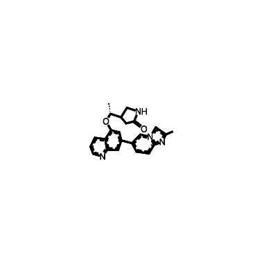 Cc1cn2cc(-c3cc(O[C@H](C)C4CNC(=O)C4)c4cccnc4c3)ccc2n1